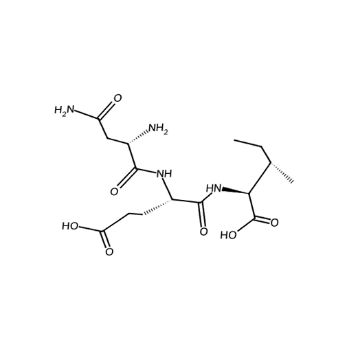 CC[C@H](C)[C@H](NC(=O)[C@H](CCC(=O)O)NC(=O)[C@@H](N)CC(N)=O)C(=O)O